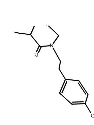 [CH2]CN(CCc1ccc(Cl)cc1)C(=O)C(C)C